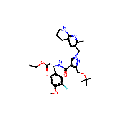 CCOC(=O)C[C@H](NC(=O)c1cn(Cc2cc3c(nc2C)NCCC3)nc1COC(C)(C)C)c1ccc(OC)c(F)c1